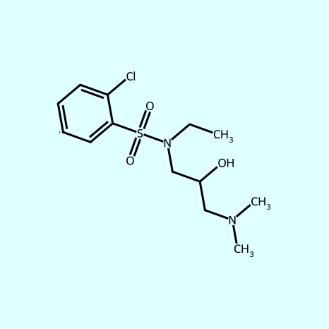 CCN(CC(O)CN(C)C)S(=O)(=O)c1c[c]ccc1Cl